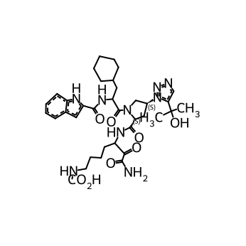 CC(C)(O)c1cnnn1[C@H]1C[C@@H](C(=O)NC(CCCCNC(=O)O)C(=O)C(N)=O)N(C(=O)C(CC2CCCCC2)NC(=O)c2cc3ccccc3[nH]2)C1